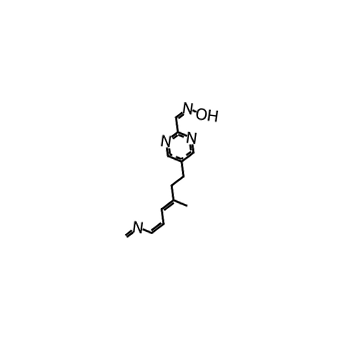 C=N/C=C\C=C(/C)CCc1cnc(/C=N\O)nc1